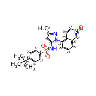 Cc1cc(NS(=O)(=O)c2ccc(C(C)(C)C)cc2)n(-c2cccc3c[n+]([O-])ccc23)n1